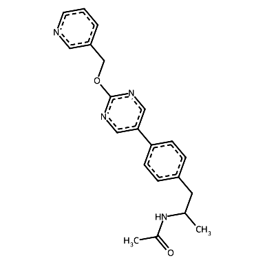 CC(=O)NC(C)Cc1ccc(-c2cnc(OCc3cccnc3)nc2)cc1